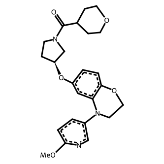 COc1ccc(N2CCOc3ccc(O[C@H]4CCN(C(=O)C5CCOCC5)C4)cc32)cn1